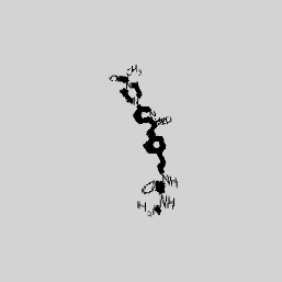 CC(=O)N1CCN(c2ccc(CCc3ccc(CCNC(=O)NN)cc3)nc2)CC1.Cl.Cl.Cl